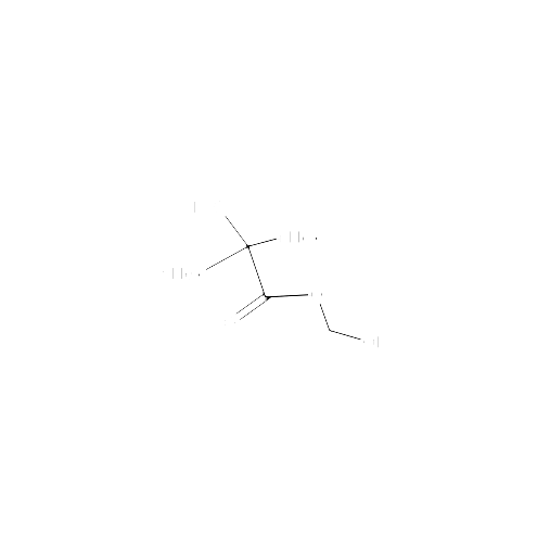 CCCCCCC(C)(CCCCCC)C(=O)OCO